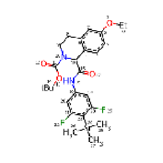 CCOc1ccc2c(c1)CCN(C(=O)OC(C)(C)C)C2C(=O)Nc1cc(F)c([Si](C)(C)C)c(F)c1